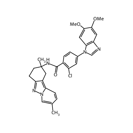 COc1cc2ncn(-c3ccc(C(=O)NC4(C)CCc5nn6cc(C)ccc6c5C4)c(Cl)c3)c2cc1OC